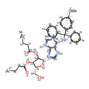 COc1ccc(C(Nc2ncnc3c2ncn3[C@@H]2O[C@H](CO)[C@@H](OC(=O)CCC(C)=O)[C@H]2OC(=O)CCC(C)=O)(c2ccccc2)c2ccccc2)cc1